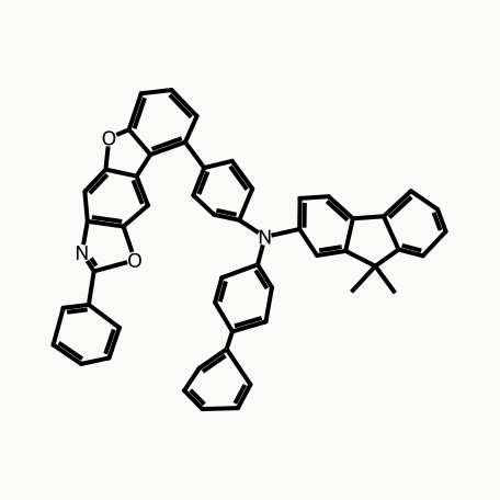 CC1(C)c2ccccc2-c2ccc(N(c3ccc(-c4ccccc4)cc3)c3ccc(-c4cccc5oc6cc7nc(-c8ccccc8)oc7cc6c45)cc3)cc21